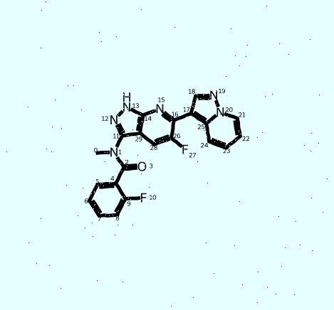 CN(C(=O)c1ccccc1F)c1n[nH]c2nc(-c3cnn4ccccc34)c(F)cc12